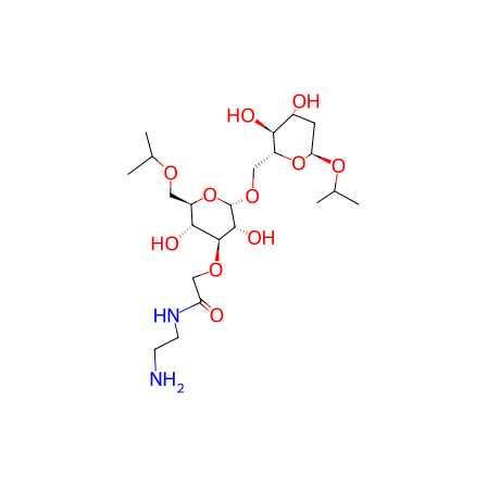 CC(C)OC[C@H]1O[C@H](OC[C@H]2O[C@H](OC(C)C)C[C@@H](O)[C@@H]2O)[C@H](O)[C@@H](OCC(=O)NCCN)[C@@H]1O